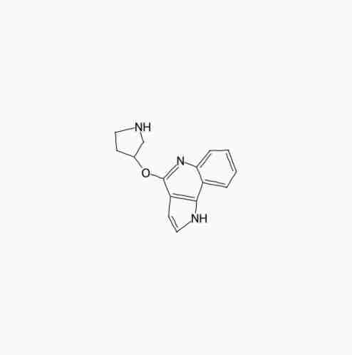 c1ccc2c(c1)nc(OC1CCNC1)c1cc[nH]c12